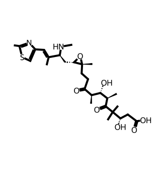 CN[C@@H](C[C@@H]1O[C@]1(C)CCC(=O)[C@H](C)[C@H](O)[C@@H](C)C(=O)C(C)(C)[C@@H](O)CC(=O)O)/C(C)=C/c1csc(C)n1